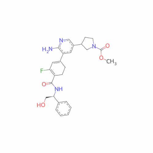 COC(=O)N1CCC(c2cnc(N)c(C3=CC(F)=C(C(=O)N[C@H](CO)c4ccccc4)CC3)c2)C1